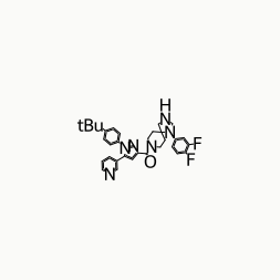 CC(C)(C)c1ccc(-n2nc(C(=O)N3CCC4(CC3)CNCN4c3ccc(F)c(F)c3)cc2-c2cccnc2)cc1